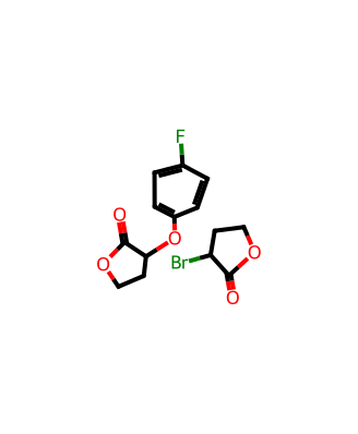 O=C1OCCC1Br.O=C1OCCC1Oc1ccc(F)cc1